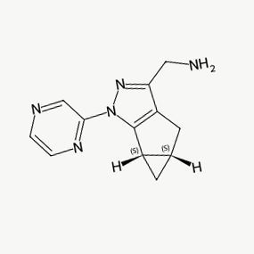 NCc1nn(-c2cnccn2)c2c1C[C@@H]1C[C@H]21